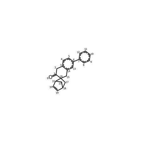 O=C1Cc2ccc(-c3ccccc3)cc2CC12CC1C=CC2C1